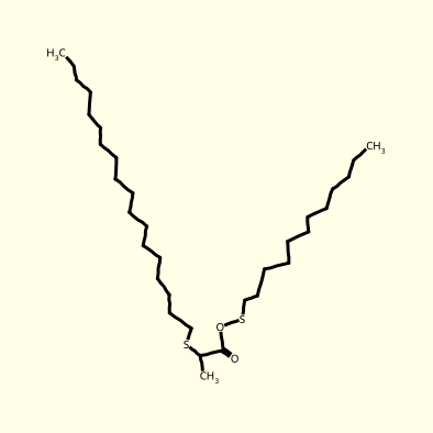 CCCCCCCCCCCCCCCCCCSC(C)C(=O)OSCCCCCCCCCCCC